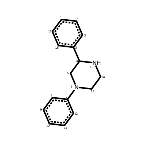 c1ccc(C2CN(c3ccccc3)CCN2)cc1